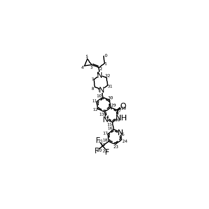 CCC(=C1CC1)N1CCN(c2ccc3nc(-c4cc(C(F)(F)F)ccn4)[nH]c(=O)c3c2)CC1